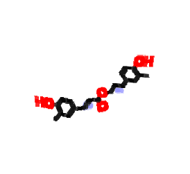 Cc1cc(/C=C/COC(=O)/C=C/c2ccc(O)c(C)c2)ccc1O